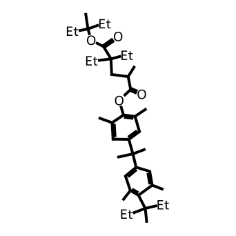 CCC(C)(CC)OC(=O)C(CC)(CC)CC(C)C(=O)Oc1c(C)cc(C(C)(C)c2cc(C)c(C(C)(CC)CC)c(C)c2)cc1C